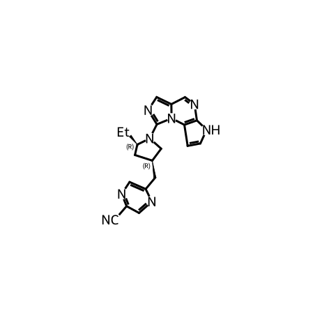 CC[C@@H]1C[C@H](Cc2cnc(C#N)cn2)CN1c1ncc2cnc3[nH]ccc3n12